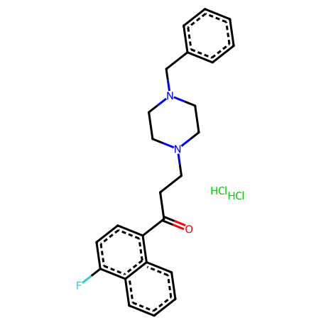 Cl.Cl.O=C(CCN1CCN(Cc2ccccc2)CC1)c1ccc(F)c2ccccc12